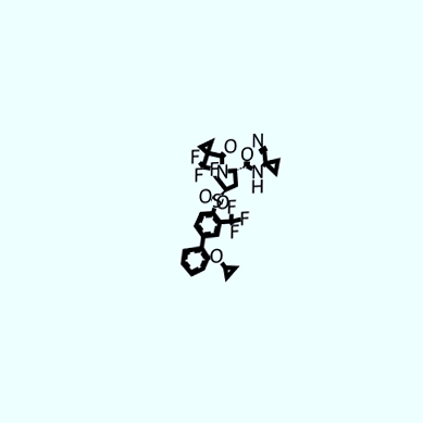 N#CC1(NC(=O)[C@@H]2C[C@@H](S(=O)(=O)c3ccc(-c4ccccc4OC4CC4)cc3C(F)(F)F)CN2C(=O)C2(C(F)(F)F)CC2)CC1